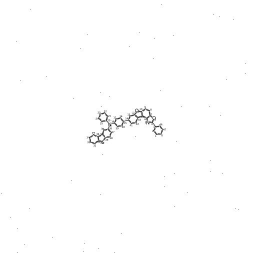 c1ccc(-c2nc3c(ccc4oc5cc(-c6ccc(N(c7ccccc7)c7ccc8sc9ccccc9c8c7)cc6)ccc5c43)o2)cc1